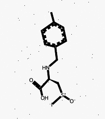 Cc1ccc(CN[C@@H](C[S+]([O-])I)C(=O)O)cc1